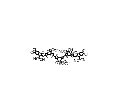 CCCCCCCCC1(C)Oc2cc(/C=C3\C(=O)c4cc(Cl)c(Cl)cc4C3=C(C#N)C#N)sc2-c2sc(-c3cc4c(s3)-c3sc(-c5cc6c(s5)-c5sc(/C=C7\C(=O)c8cc(Cl)c(Cl)cc8C7=C(C#N)C#N)cc5OC6(CCCCCCCC)CCCCCCCC)cc3C(=O)C4(CCCCCCCC)CCCCCCCC)cc21